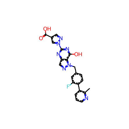 Cc1ncccc1-c1ccc(Cn2ncc3nc(-n4cc(C(=O)O)cn4)nc(O)c32)cc1F